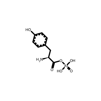 N[C@@H](Cc1ccc(O)cc1)C(=O)O[As](=O)(O)O